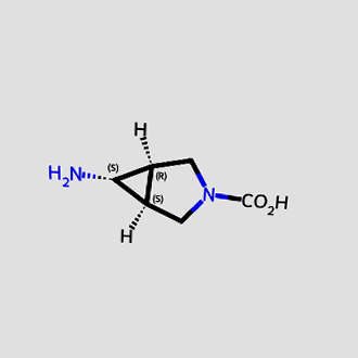 N[C@@H]1[C@H]2CN(C(=O)O)C[C@@H]12